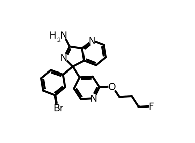 NC1=NC(c2cccc(Br)c2)(c2ccnc(OCCCF)c2)c2cccnc21